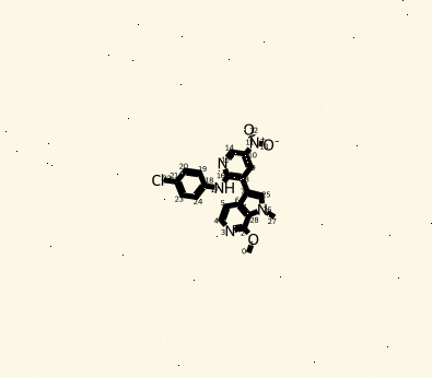 COc1nccc2c(-c3cc([N+](=O)[O-])cnc3Nc3ccc(Cl)cc3)cn(C)c12